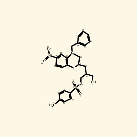 Cc1ccc(S(=O)(=O)OCC(CO)CC2CN(Cc3ccccc3)c3cc([N+](=O)[O-])ccc3O2)cc1